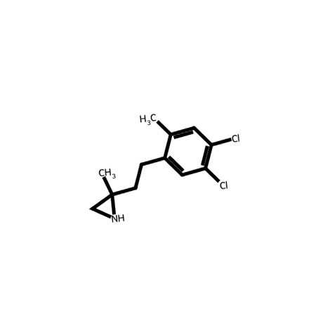 Cc1cc(Cl)c(Cl)cc1CCC1(C)CN1